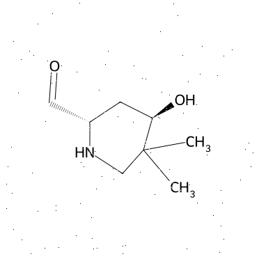 CC1(C)CN[C@H](C=O)C[C@H]1O